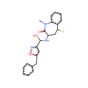 CN1C(=O)C(NC(O)c2cc(Cc3ccccc3)on2)CC(F)c2ccccc21